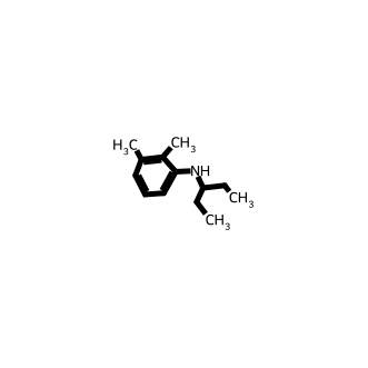 CCC(CC)Nc1cccc(C)c1C